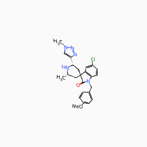 COc1ccc(CN2C(=O)[C@@]3(C[C@@H](c4cn(C)nn4)N[C@@H](C)C3)c3cc(Cl)ccc32)cc1